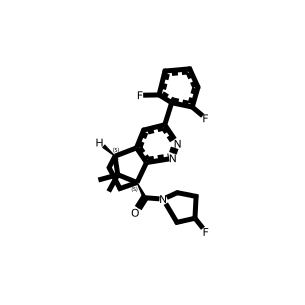 CC1(C)[C@@H]2CC[C@@]1(C(=O)N1CCC(F)C1)c1nnc(-c3c(F)cccc3F)cc12